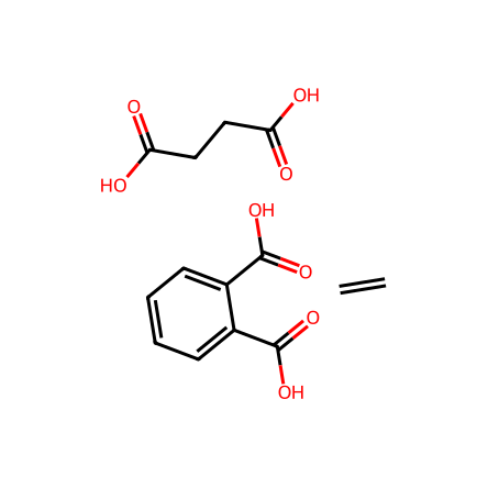 C=C.O=C(O)CCC(=O)O.O=C(O)c1ccccc1C(=O)O